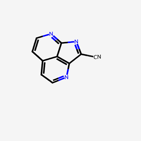 N#CC1=Nc2nccc3ccnc1c23